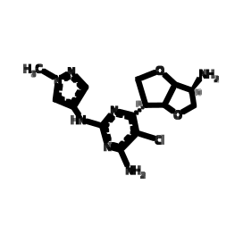 Cn1cc(Nc2nc(N)c(Cl)c([C@@H]3COC4C3OC[C@@H]4N)n2)cn1